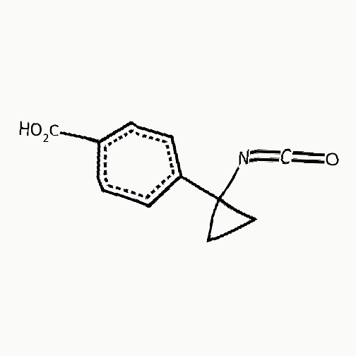 O=C=NC1(c2ccc(C(=O)O)cc2)CC1